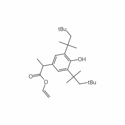 C=COC(=O)C(C)c1cc(C(C)(C)CC(C)(C)C)c(O)c(C(C)(C)CC(C)(C)C)c1